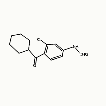 O=CNc1ccc(C(=O)C2CCCCC2)c(Cl)c1